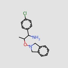 CC(ON1Cc2ccccc2C1)C(N)c1ccc(Cl)cc1